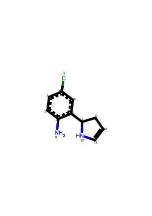 Nc1ccc(Cl)cc1C1CC=CN1